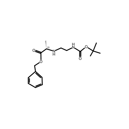 C[C@H](NCCNC(=O)OC(C)(C)C)C(=O)OCc1ccccc1